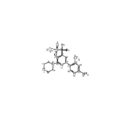 CS(=O)(=O)C(F)(F)c1cc(-c2cnc(N)cc2C(F)(F)F)nc(N2CCOCC2)n1